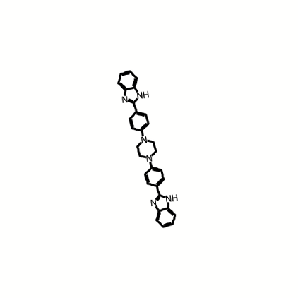 c1ccc2[nH]c(-c3ccc(N4CCN(c5ccc(-c6nc7ccccc7[nH]6)cc5)CC4)cc3)nc2c1